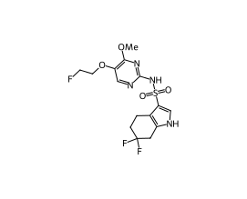 COc1nc(NS(=O)(=O)c2c[nH]c3c2CCC(F)(F)C3)ncc1OCCF